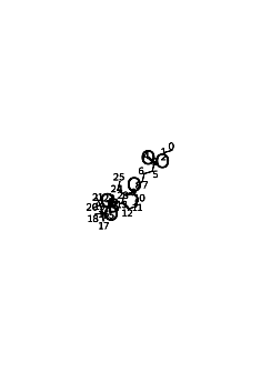 CCOC(=O)CCCOc1cccc(B2OC(C)(C)C(C)(C)O2)c1CC